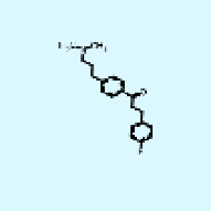 CN(C)CCCc1ccc(C(=O)CCc2ccc(F)cc2)cc1